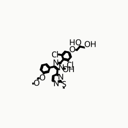 COCOc1cccc(-c2nc(-c3c(Cl)cc(OCC(O)CO)cc3Cl)n(O)c2-c2ccnc(SC)n2)c1